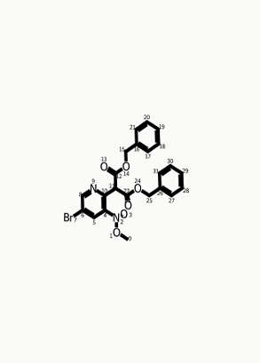 CO[N+](=O)c1cc(Br)cnc1C(C(=O)OCc1ccccc1)C(=O)OCc1ccccc1